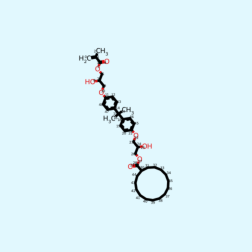 C=C(C)C(=O)OCC(O)COc1ccc(C(C)(C)c2ccc(OCC(O)COC(=O)C3CCCCCCCCCCCCCC3)cc2)cc1